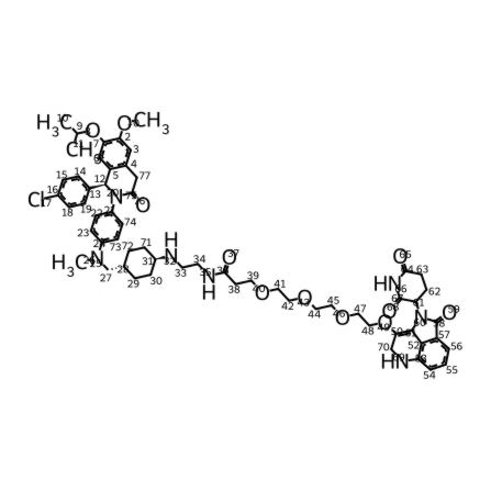 COc1cc2c(cc1OC(C)C)[C@H](c1ccc(Cl)cc1)N(c1ccc(N(C)C[C@H]3CC[C@H](NCCNC(=O)CCOCCOCCOCCOC4=C5c6c(cccc6C(=O)N5C5CCC(=O)NC5=O)NC4)CC3)cc1)C(=O)C2